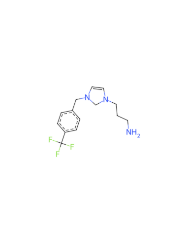 NCCCN1C=CN(Cc2ccc(C(F)(F)F)cc2)C1